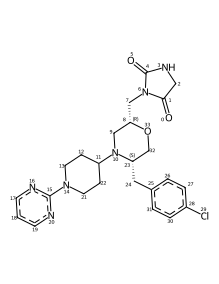 O=C1CNC(=O)N1C[C@H]1CN(C2CCN(c3ncccn3)CC2)[C@@H](Cc2ccc(Cl)cc2)CO1